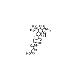 CN(C)C1C(O)=C(C(N)=O)C(=O)C2(O)C(O)=C3C(=O)c4c(ccc(NC(=O)[C@@H](Br)CC(=O)O)c4O)CC3CC12